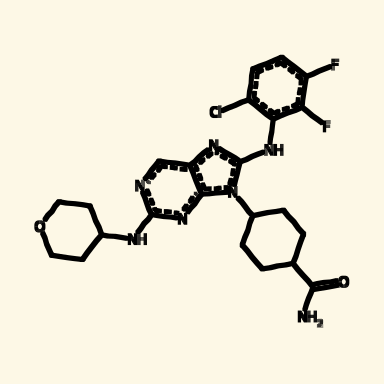 NC(=O)C1CCC(n2c(Nc3c(Cl)ccc(F)c3F)nc3cnc(NC4CCOCC4)nc32)CC1